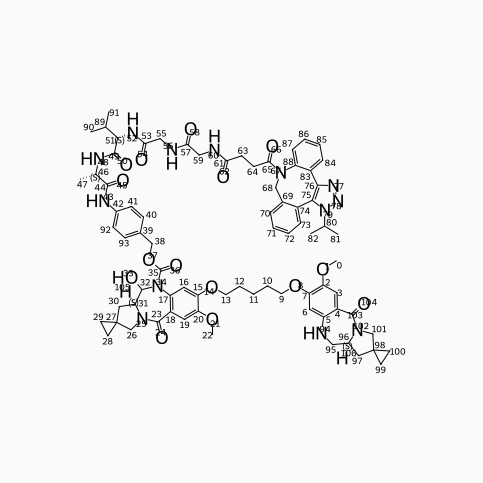 COc1cc2c(cc1OCCCCCOc1cc3c(cc1OC)C(=O)N1CC4(CC4)C[C@H]1C(O)N3C(=O)OCc1ccc(NC(=O)[C@H](C)NC(=O)[C@@H](NC(=O)CNC(=O)CNC(=O)CCC(=O)N3Cc4ccccc4-c4c(nnn4C(C)C)-c4ccccc43)C(C)C)cc1)NC[C@@H]1CC3(CC3)CN1C2=O